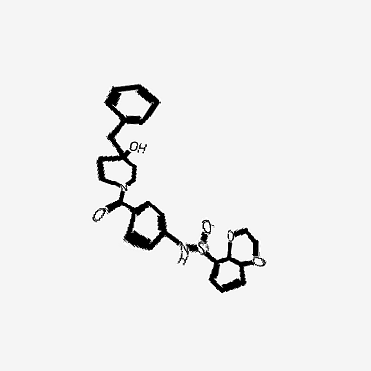 O=C(c1ccc(N[S+]([O-])C2=CC=CC3OCCOC23)cc1)N1CCC(O)(Cc2ccccc2)CC1